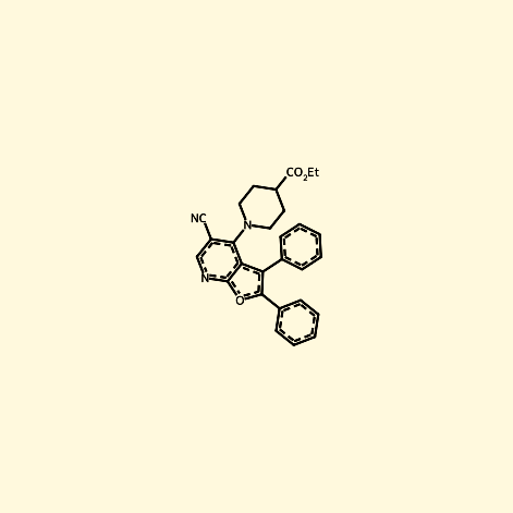 CCOC(=O)C1CCN(c2c(C#N)cnc3oc(-c4ccccc4)c(-c4ccccc4)c23)CC1